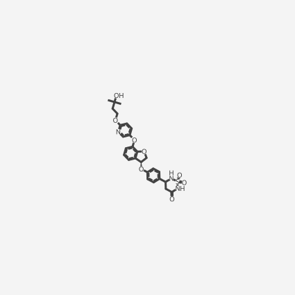 CC(C)(O)CCOc1ccc(Oc2cccc3c2OC[C@H]3Oc2ccc(C3CC(=O)NS(=O)(=O)N3)cc2)cn1